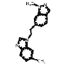 Cc1ccc2ncn(CCc3ccc4cnn(C)c4c3)c2c1